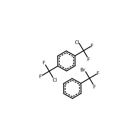 FC(F)(Br)c1ccccc1.FC(F)(Cl)c1ccc(C(F)(F)Cl)cc1